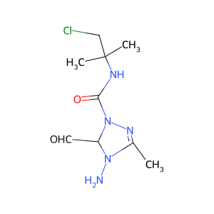 CC1=NN(C(=O)NC(C)(C)CCl)C(C=O)N1N